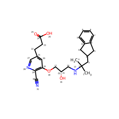 CC(C)(CC1Cc2ccccc2C1)NC[C@H](O)COc1cc(CCC(=O)O)cnc1C#N